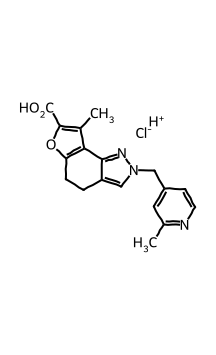 Cc1cc(Cn2cc3c(n2)-c2c(oc(C(=O)O)c2C)CC3)ccn1.[Cl-].[H+]